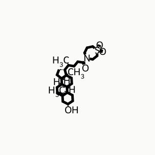 C[C@H](CCC(=O)N1CCCS(=O)(=O)CC1)[C@H]1CC[C@H]2[C@@H]3CC=C4C[C@@H](O)CC[C@]4(C)[C@H]3CC[C@]12C